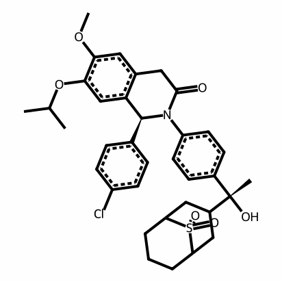 COc1cc2c(cc1OC(C)C)[C@H](c1ccc(Cl)cc1)N(c1ccc([C@](C)(O)C3CC4CCCC(C3)S4(=O)=O)cc1)C(=O)C2